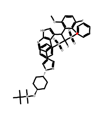 COc1ccc(F)c(Cl)c1C(c1c[nH]c2ncc(-c3cnn([C@H]4CC[C@H](O[Si](C)(C)C(C)(C)C)CC4)c3)cc12)C(F)(S(=O)(=O)c1ccccc1)S(=O)(=O)c1ccccc1